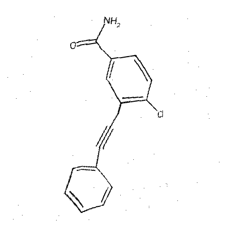 NC(=O)c1ccc(Cl)c(C#Cc2ccccc2)c1